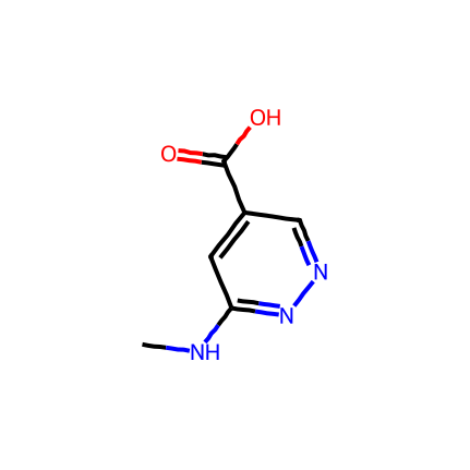 CNc1cc(C(=O)O)cnn1